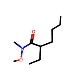 CCCCC(CC)C(=O)N(C)OC